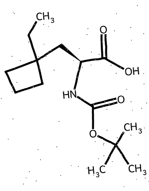 CCC1(C[C@H](NC(=O)OC(C)(C)C)C(=O)O)CCC1